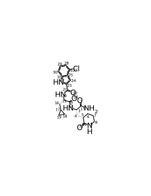 NC(=O)[C@H](C[C@@H]1CCCNC1=O)NC(=O)[C@H](CC1CC1)NC(=O)c1cc2c(Cl)cccc2[nH]1